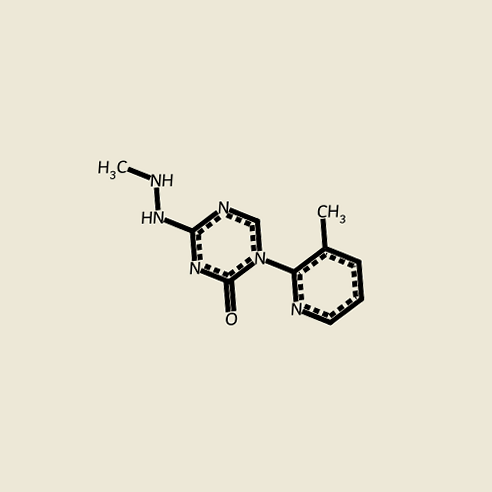 CNNc1ncn(-c2ncccc2C)c(=O)n1